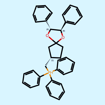 c1ccc([C@H]2OC3(CC[C@H](C[PH](c4ccccc4)(c4ccccc4)c4ccccc4)C3)O[C@@H]2c2ccccc2)cc1